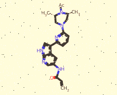 C=CC(=O)Nc1cnc2[nH]cc(-c3cccc(N4C[C@@H](C)N(C(C)=O)[C@@H](C)C4)n3)c2c1